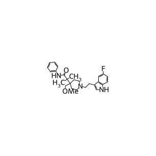 COCC1(C(C)(C)C(=O)Nc2ccccc2)CCN(CCc2c[nH]c3ccc(F)cc23)CC1